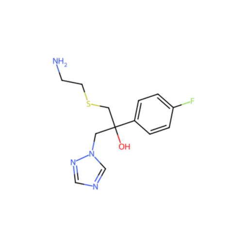 NCCSCC(O)(Cn1cncn1)c1ccc(F)cc1